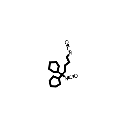 O=C=NCCCCC(N=C=O)(C1CCCCC1)C1CCCCC1